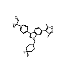 Cc1noc(C)c1-c1ccc2c(-c3ccc(C4(C=O)CC4)cc3)cn(CC3CCC(F)(F)CC3)c2c1